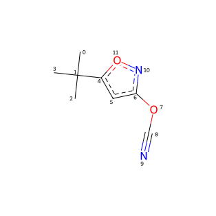 CC(C)(C)c1cc(OC#N)no1